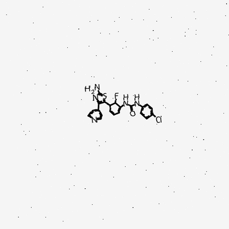 Nc1nc(-c2ccncc2)c(C2C=CC=C(NC(=O)Nc3ccc(Cl)cc3)C2F)s1